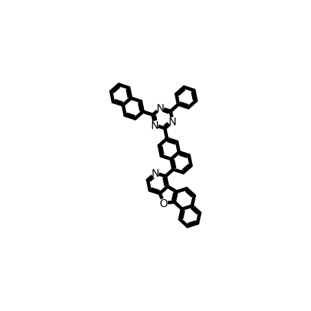 c1ccc(-c2nc(-c3ccc4ccccc4c3)nc(-c3ccc4c(-c5nccc6oc7c8ccccc8ccc7c56)cccc4c3)n2)cc1